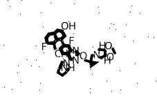 C#Cc1c(F)ccc2cc(O)cc(-c3ccc4c(N5CC6CCC(C5)N6)nc(OCC5(CN6C[C@@H]7OCCO[C@@H]7C6)CC5)nc4c3F)c12